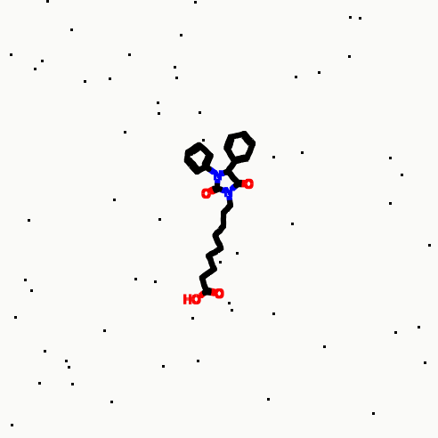 O=C(O)CCCCCCCCN1C(=O)C(c2ccccc2)N(c2ccccc2)C1=O